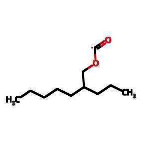 CCCCCC(CCC)CO[C]=O